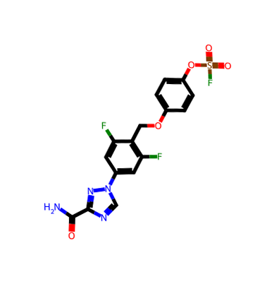 NC(=O)c1ncn(-c2cc(F)c(COc3ccc(OS(=O)(=O)F)cc3)c(F)c2)n1